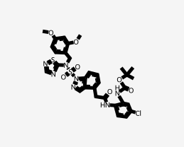 COc1ccc(CN(c2ncns2)S(=O)(=O)n2ncc3c(CC(=O)Nc4ccc(Cl)cc4NC(=O)OC(C)(C)C)cccc32)c(OC)c1